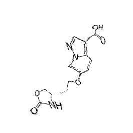 O=C1N[C@@H](CCOc2ccc3c(C(=O)O)cnn3c2)CO1